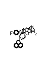 NC[C@@H](O)CN1CN(c2ccc(F)cc2)[C@@]2(CCCN(C3Cc4cccc5cccc3c45)CC2)C1=O